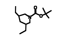 CCC1CC(CC)CN(C(=O)OC(C)(C)C)C1